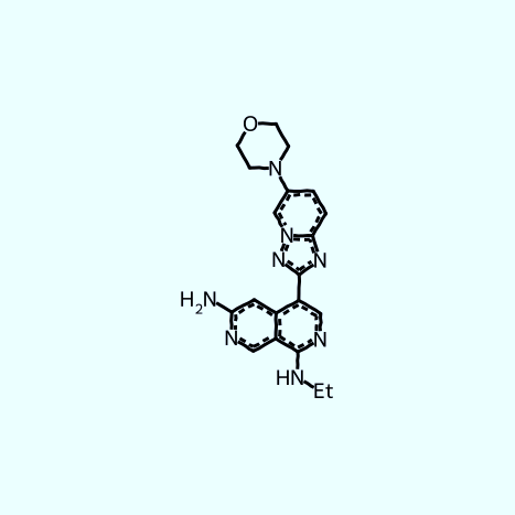 CCNc1ncc(-c2nc3ccc(N4CCOCC4)cn3n2)c2cc(N)ncc12